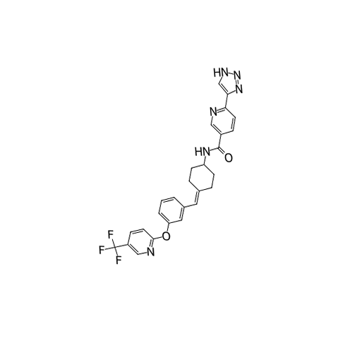 O=C(NC1CCC(=Cc2cccc(Oc3ccc(C(F)(F)F)cn3)c2)CC1)c1ccc(-c2c[nH]nn2)nc1